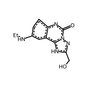 CCNc1ccc2nc(=O)n3nc(CO)[nH]c3c2c1